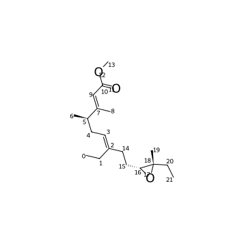 CC/C(=C\C[C@@H](C)/C(C)=C/C(=O)OC)CC[C@H]1O[C@@]1(C)CC